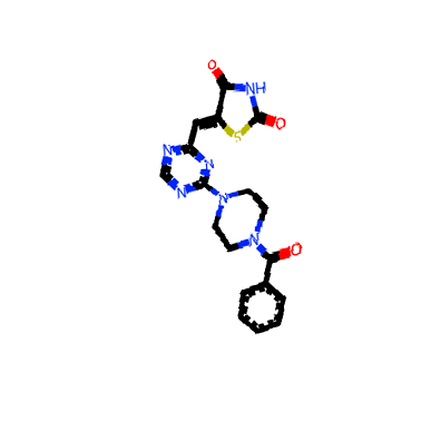 O=C1NC(=O)C(=Cc2ncnc(N3CCN(C(=O)c4ccccc4)CC3)n2)S1